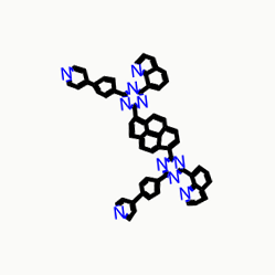 c1cnc2c(-c3nc(-c4ccc(-c5ccncc5)cc4)nc(-c4ccc5ccc6c(-c7nc(-c8ccc(-c9ccncc9)cc8)nc(-c8cccc9cccnc89)n7)ccc7ccc4c5c76)n3)cccc2c1